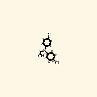 CCN(c1ccc(Cl)cc1)c1ccc(Cl)cc1